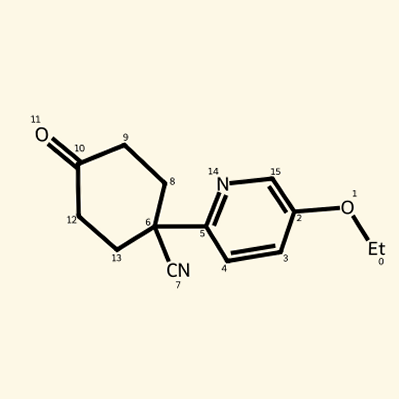 CCOc1ccc(C2(C#N)CCC(=O)CC2)nc1